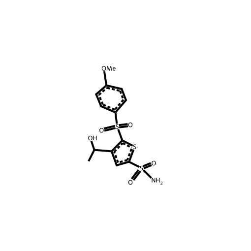 COc1ccc(S(=O)(=O)c2sc(S(N)(=O)=O)cc2C(C)O)cc1